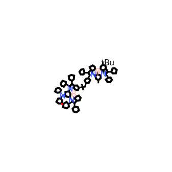 Cc1cc2c3c(c1)-n1c(-c4ccccc4)c(-c4ccccc4)c4cc(C(C)(C)C)cc(c41)B3c1cccc3c(-c4ccccc4)c(-c4ccc(CC(C)(C)c5cc6c7c(c5)c(-c5ccccc5)c(-c5ccccc5)n7-c5cc(N(c7ccccc7)c7ccccc7)cc7c5B6c5cccc6c(-c8ccccc8)c(-c8ccccc8)n-7c56)cc4)n-2c13